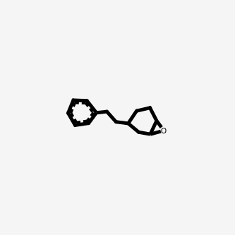 c1ccc(CCC2CCC3OC3C2)cc1